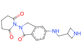 O=C1c2ccc(NCC3CNC3)cc2CN1N1C(=O)CCCC1=O